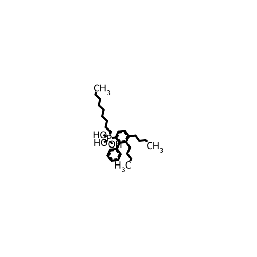 CCCCCCCCCP(O)(O)(O)c1ccc(CCCC)c(CCCC)c1-c1ccccc1